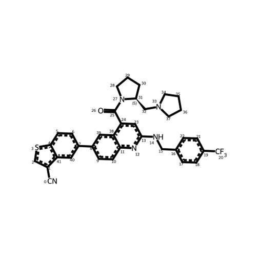 N#Cc1csc2ccc(-c3ccc4nc(NCc5ccc(C(F)(F)F)cc5)cc(C(=O)N5CCC[C@H]5CN5CCCC5)c4c3)cc12